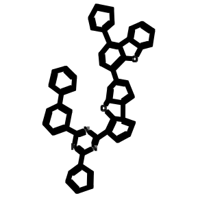 c1ccc(-c2cccc(-c3nc(-c4ccccc4)nc(-c4cccc5c4oc4cc(-c6ccc(-c7ccccc7)c7c6oc6ccccc67)ccc45)n3)c2)cc1